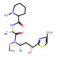 CCCCCCON(C(=O)[C@@H](NC(=O)C1CCCCN1C)[C@@H](C)CC)[C@H](C[C@@H](O)c1nc(C(=O)O)cs1)C(C)C